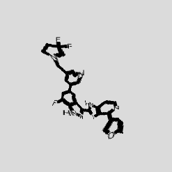 Fc1cc(-c2cncc(CN3CCC(F)(F)C3)c2)cc2c(-c3nc4c(-c5ccoc5)nccc4[nH]3)n[nH]c12